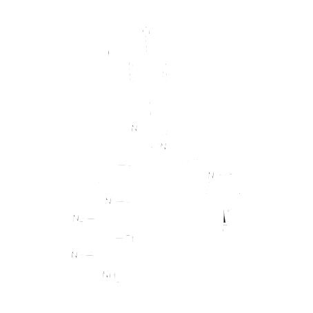 CCc1c(N)ncnc1N1CCC(c2nc(-c3ccc(C(F)(F)F)c(F)c3)cn2CCN2CC[C@@H](F)C2)CC1